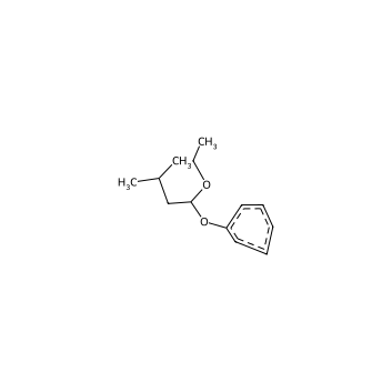 CCOC(CC(C)C)Oc1ccccc1